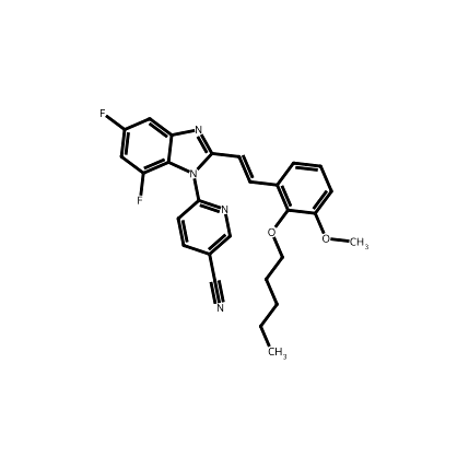 CCCCCOc1c(C=Cc2nc3cc(F)cc(F)c3n2-c2ccc(C#N)cn2)cccc1OC